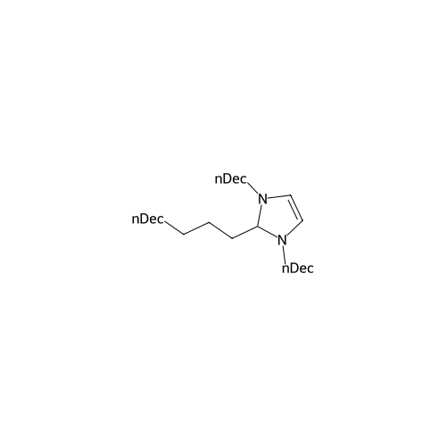 CCCCCCCCCCCCCC1N(CCCCCCCCCC)C=CN1CCCCCCCCCC